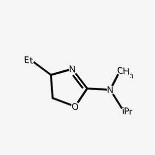 CCC1COC(N(C)C(C)C)=N1